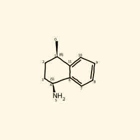 C[C@@H]1CC[C@H](N)c2ccccc21